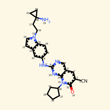 N#Cc1cc2cnc(Nc3ccc4c(ccn4CCC4(N)CC4)c3)nc2n(C2CCCC2)c1=O